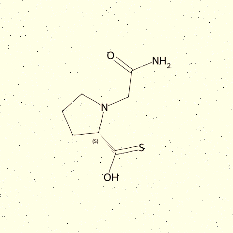 NC(=O)CN1CCC[C@H]1C(O)=S